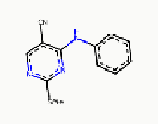 CSc1ncc(C#N)c(Nc2ccccc2)n1